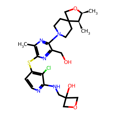 Cc1nc(N2CCC3(CC2)CO[C@@H](C)[C@H]3C)c(CO)nc1Sc1ccnc(NCC2(O)COC2)c1Cl